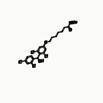 CNC(=O)CCCCCCOc1cc(Cl)c(C(O)c2ccc(Cl)cc2Cl)c(Cl)c1